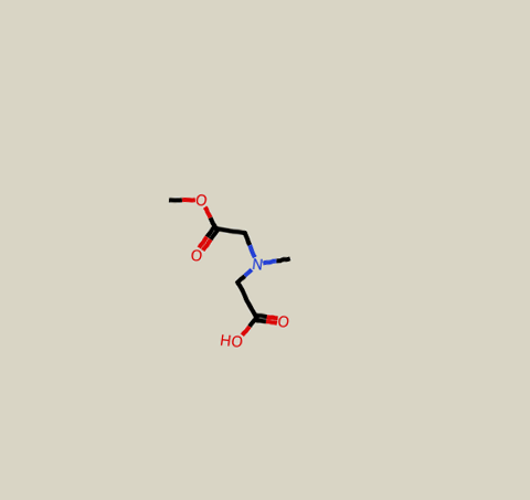 COC(=O)CN(C)CC(=O)O